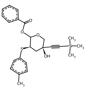 Cc1ccc(S[C@@H]2C[C@@](O)(C#C[Si](C)(C)C)COC2OC(=O)c2ccccc2)cc1